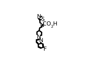 O=C(O)N(CCC1CCN(c2ccc3ccc(F)cc3n2)CC1)Cc1cncs1